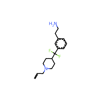 C=CCN1CCC(C(F)(F)c2cccc(CCN)c2)CC1